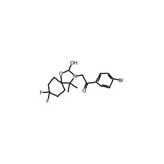 CC1(C)N(CC(=O)c2ccc(Br)cc2)C(O)OC12CCC(F)(F)CC2